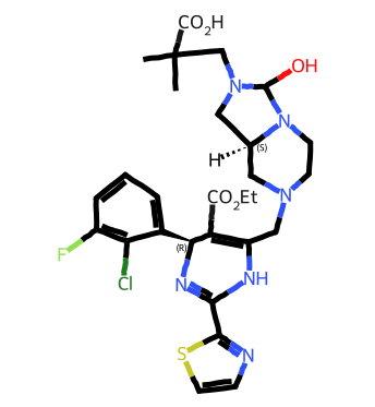 CCOC(=O)C1=C(CN2CCN3C(O)N(CC(C)(C)C(=O)O)C[C@@H]3C2)NC(c2nccs2)=N[C@H]1c1cccc(F)c1Cl